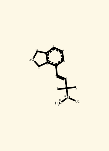 CC(C)(C=Cc1cccc2c1COC2)[S+](N)[O-]